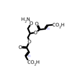 NOCC(COC(=O)/C=C/C(=O)O)OC(=O)/C=C/C(=O)O